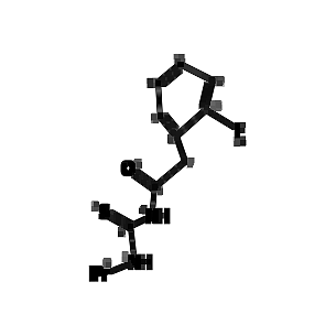 CC(C)NC(=S)NC(=O)Cc1ccccc1F